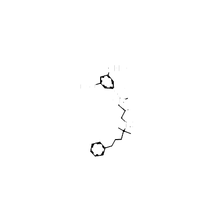 CCCCc1cc(C=O)cc(S(=O)(=O)N(C)C[C@H](O)CNC(C)(C)CCCc2ccccc2)c1